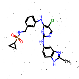 Cc1nc2cc(Nc3ncc(Cl)c(Nc4cccc(CNS(=O)(=O)C5CC5)c4)n3)ccc2[nH]1